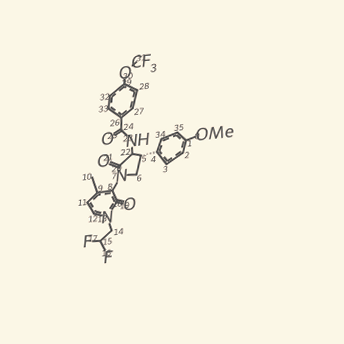 COc1ccc([C@@H]2CN(c3c(C)ccn(CC(F)F)c3=O)C(=O)C2NC(=O)c2ccc(OC(F)(F)F)cc2)cc1